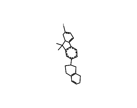 CC1(C)c2cc(C3CCC4=C(CCC=C4)C3)ccc2C2=CC=C(I)CC21